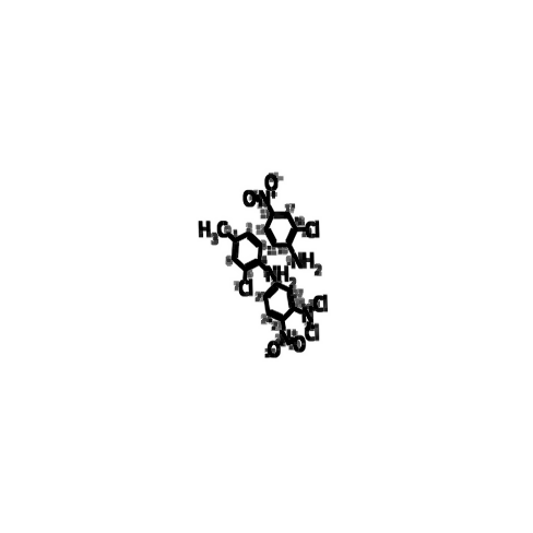 Cc1ccc(N)c(Cl)c1.Nc1ccc([N+](=O)[O-])cc1Cl.O=[N+]([O-])c1ccccc1N(Cl)Cl